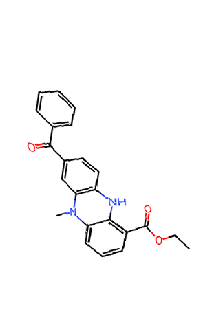 CCOC(=O)c1cccc2c1Nc1ccc(C(=O)c3ccccc3)cc1N2C